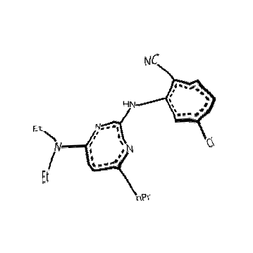 CCCc1cc(N(CC)CC)nc(Nc2cc(Cl)ccc2C#N)n1